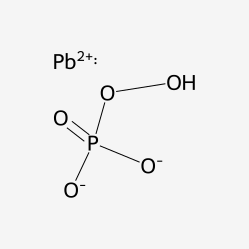 O=P([O-])([O-])OO.[Pb+2]